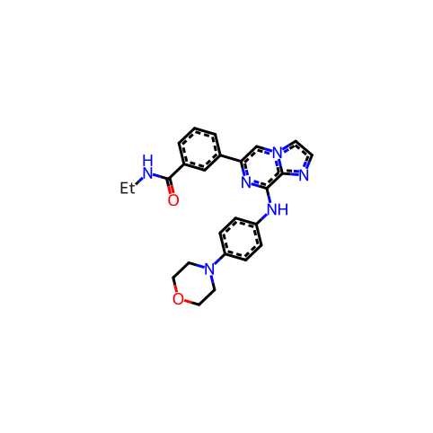 CCNC(=O)c1cccc(-c2cn3ccnc3c(Nc3ccc(N4CCOCC4)cc3)n2)c1